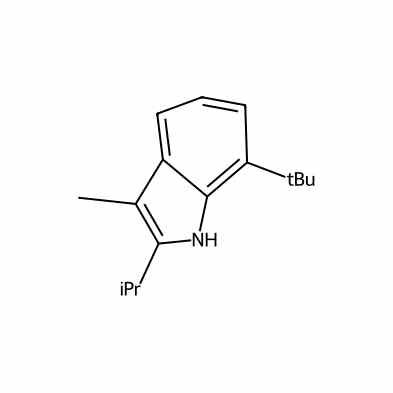 Cc1c(C(C)C)[nH]c2c(C(C)(C)C)cccc12